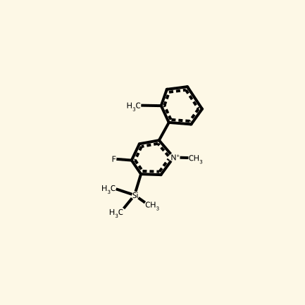 Cc1ccccc1-c1cc(F)c([Si](C)(C)C)c[n+]1C